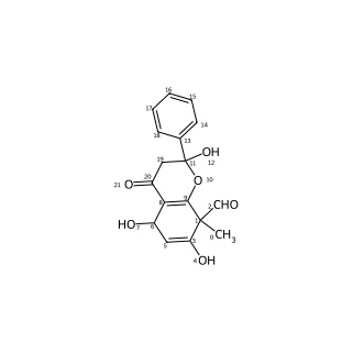 CC1(C=O)C(O)=CC(O)C2=C1OC(O)(c1ccccc1)CC2=O